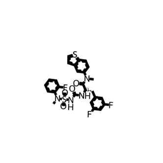 CN(C(=O)[C@H](Cc1cc(F)cc(F)c1)NC(=O)NS(=O)(=O)N(C)c1ccccc1F)c1ccc2sccc2c1